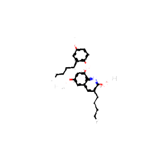 CCCCCc1cc(OC)ccc1Oc1cc(OC)cc2cc(CCCCC)c(OC)nc12